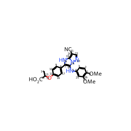 COc1ccc(Nc2c(-c3ccc(OC(C)C(=O)O)cc3)[nH]c3c(C#N)cnn23)cc1OC